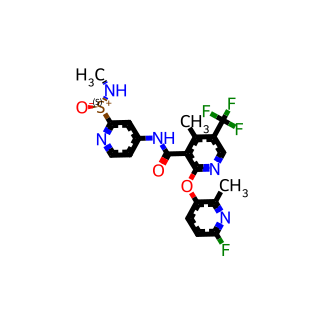 CN[S@+]([O-])c1cc(NC(=O)c2c(Oc3ccc(F)nc3C)ncc(C(F)(F)F)c2C)ccn1